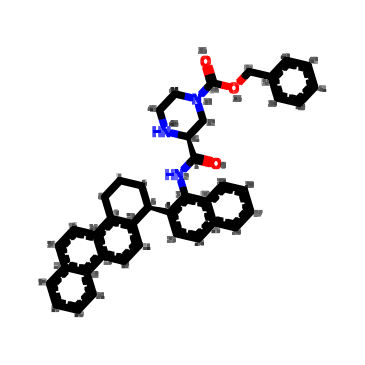 O=C(Nc1c([C@@H]2CCCc3c2ccc2c3ccc3ccccc32)ccc2ccccc12)[C@@H]1CN(C(=O)OCc2ccccc2)CCN1